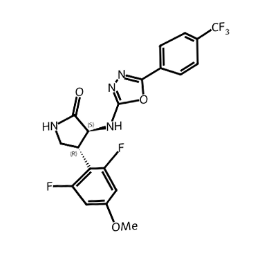 COc1cc(F)c([C@@H]2CNC(=O)[C@H]2Nc2nnc(-c3ccc(C(F)(F)F)cc3)o2)c(F)c1